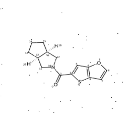 O=C(c1cc2occc2s1)N1C[C@H]2CCC[C@H]2C1